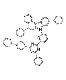 c1ccc(-c2ccc(-c3nc(-c4ccccc4)nc(-c4cccc(-n5c6cc(-c7ccccc7)ccc6c6c7ccccc7c(-c7ccccc7)cc65)n4)n3)cc2)cc1